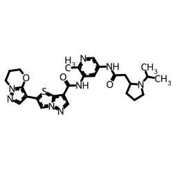 Cc1ncc(NC(=O)CC2CCCN2C(C)C)cc1NC(=O)c1cnn2cc(-c3cnn4c3OCCC4)sc12